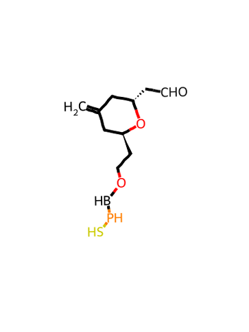 C=C1C[C@H](CC=O)O[C@@H](CCOBPS)C1